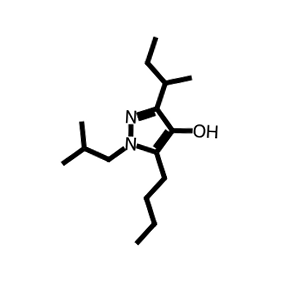 CCCCc1c(O)c(C(C)CC)nn1CC(C)C